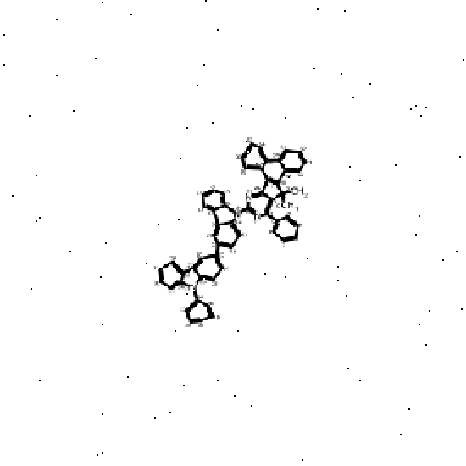 CC1(C)c2c(-c3ccccc3)nc(-n3c4ccccc4c4cc(-c5ccc6c(c5)c5ccccc5n6-c5ccccc5)ccc43)nc2-c2c1c1ccccc1c1ccccc21